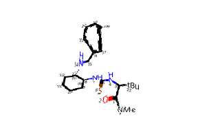 CNC(=O)C(NC(=S)N[C@H]1CCCC[C@@H]1NCc1ccccc1)C(C)(C)C